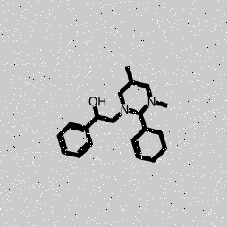 CC1CN(C)C(C2C=CCCC2)N(CC(O)c2ccccc2)C1